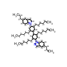 CCCCCCc1cc(-n2ccc3cc(CCC)ccc32)c(CCCCCC)cc1-c1cc(CCCCCC)c(-n2ncc3cc(CCC)ccc32)cc1CCCCCC